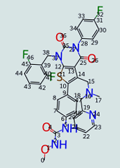 CONC(=O)Nc1ccc(-c2sc3c(c2CN(C)Cc2ccccn2)c(=O)n(-c2ccc(F)cc2)c(=O)n3Cc2c(F)cccc2F)cc1